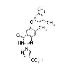 Cc1cc(C)cc(Oc2cc3c(=O)[nH]c(-n4cc(C(=O)O)cn4)nc3cc2C)c1